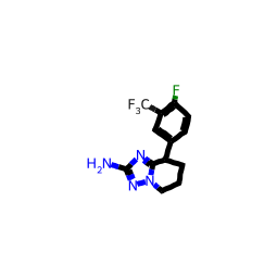 Nc1nc2n(n1)CCCC2c1ccc(F)c(C(F)(F)F)c1